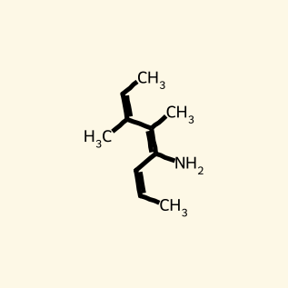 C\C=C/C(N)=C(C)\C(C)=C/C